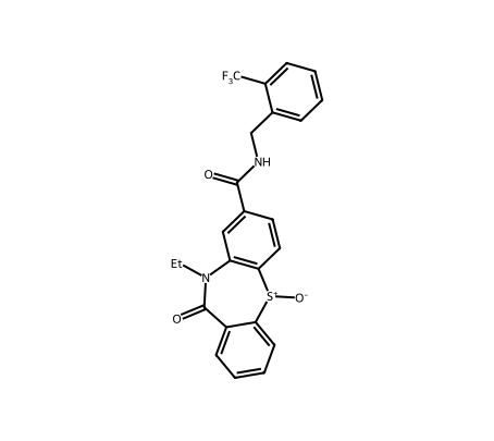 CCN1C(=O)c2ccccc2[S+]([O-])c2ccc(C(=O)NCc3ccccc3C(F)(F)F)cc21